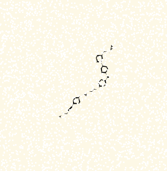 Cc1ccc(C(=O)NC2CC2)cc1-c1ccc(C(=O)c2ccc(OCCOC(=O)Nc3ccc(C#CCNC(=O)OC(C)(C)C)cc3)cc2)cc1